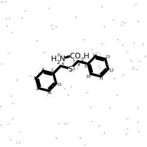 NC(=O)O.c1ccc(CSCc2ccccc2)cc1